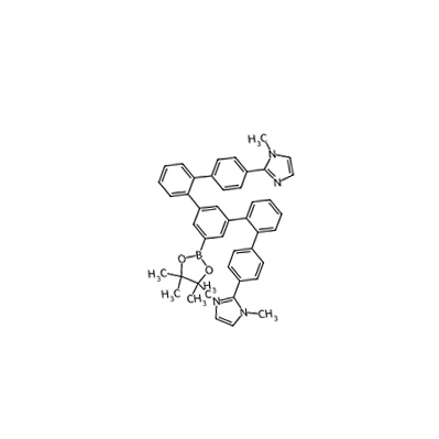 Cn1ccnc1-c1ccc(-c2ccccc2-c2cc(B3OC(C)(C)C(C)(C)O3)cc(-c3ccccc3-c3ccc(-c4nccn4C)cc3)c2)cc1